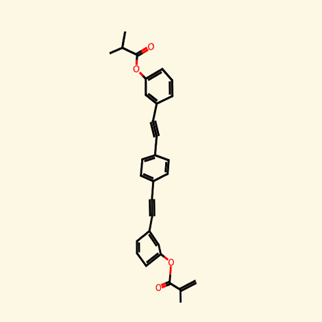 C=C(C)C(=O)Oc1cccc(C#Cc2ccc(C#Cc3cccc(OC(=O)C(C)C)c3)cc2)c1